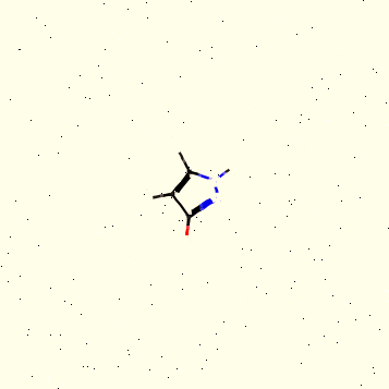 CCc1c(O)nn(C(C)(C)C)c1CC